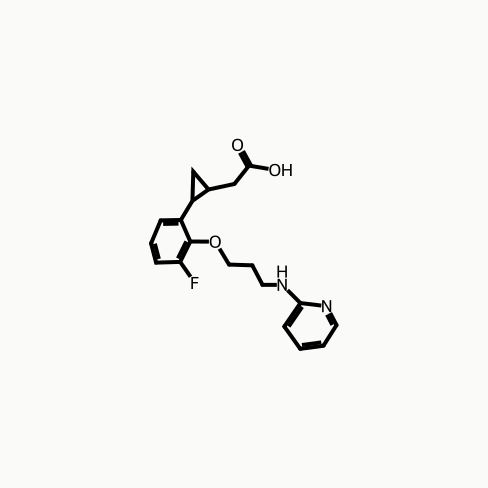 O=C(O)CC1CC1c1cccc(F)c1OCCCNc1ccccn1